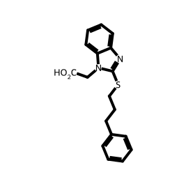 O=C(O)Cn1c(SCCCc2ccccc2)nc2ccccc21